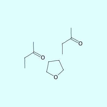 C1CCOC1.CCC(C)=O.CCC(C)=O